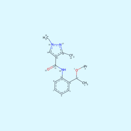 CC(C)OC(C)c1ccccc1NC(=O)c1cn(C)nc1C(F)(F)F